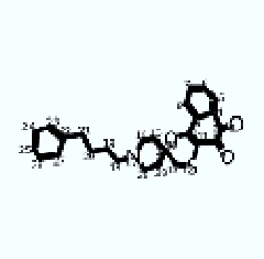 O=C1C(=O)c2ccccc2C2=C1SCC1(CCN(CCCCc3ccccc3)CC1)O2